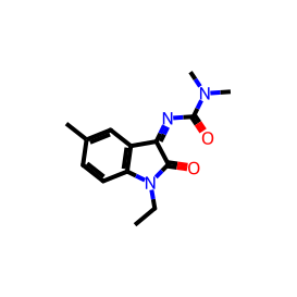 CCN1C(=O)C(=NC(=O)N(C)C)c2cc(C)ccc21